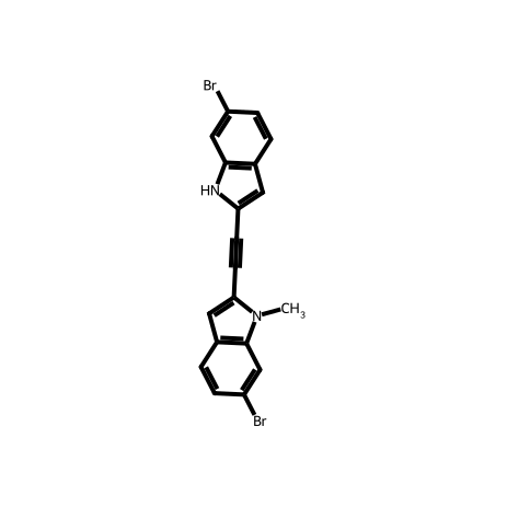 Cn1c(C#Cc2cc3ccc(Br)cc3[nH]2)cc2ccc(Br)cc21